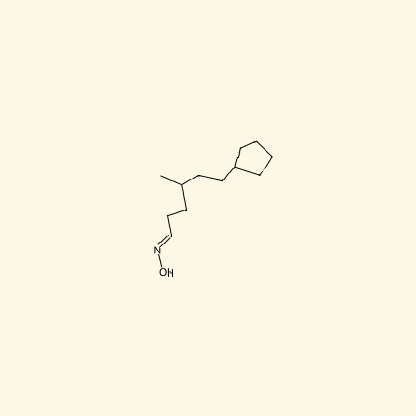 CC(CCC=NO)CCC1CCCC1